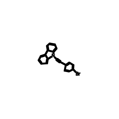 Brc1ccc(C#Cn2c3ccccc3c3ccccc32)cc1